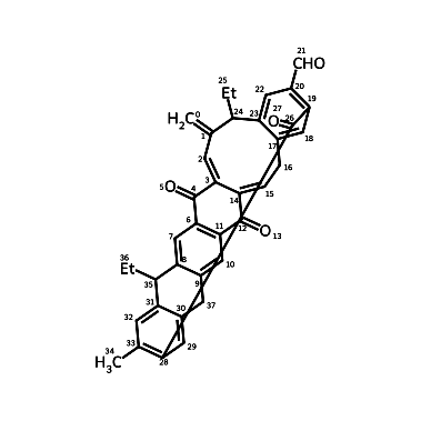 C=C1/C=C2/C(=O)c3cc4c5cc3C(=O)/C2=C/Cc2cc(c(C=O)cc2C1CC)C(=O)c1cc(c(cc1C)C4CC)C5